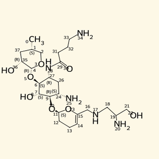 C[C@@H]1CO[C@H](O[C@@H]2[C@@H](O)[C@H](O[C@@H]3CCC=C(CNCC(N)CO)O3)[C@@H](N)C[C@H]2NC(=O)CCCN)[C@H](O)C1